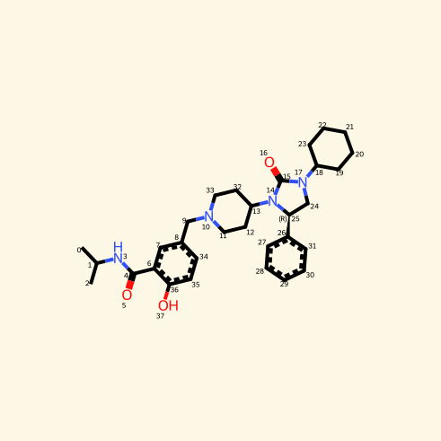 CC(C)NC(=O)c1cc(CN2CCC(N3C(=O)N(C4CCCCC4)C[C@H]3c3ccccc3)CC2)ccc1O